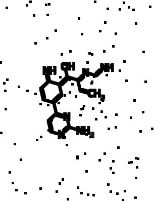 C=CC(=N\C=N)/C(O)=C1\C=C(c2ccnc(N)n2)C=CC1=N